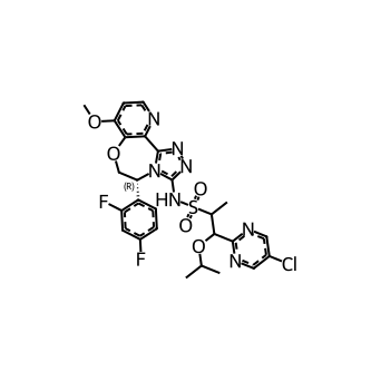 COc1ccnc2c1OC[C@@H](c1ccc(F)cc1F)n1c(NS(=O)(=O)C(C)C(OC(C)C)c3ncc(Cl)cn3)nnc1-2